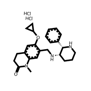 CN1C(=O)CCc2cc(OC3CC3)c(CN[C@H]3CCCN[C@H]3c3ccccc3)cc21.Cl.Cl